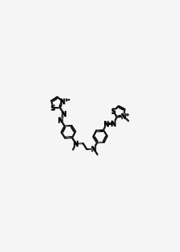 CN(CCN(C)c1ccc(N=Nc2scc[n+]2C)cc1)c1ccc(N=Nc2scc[n+]2C)cc1